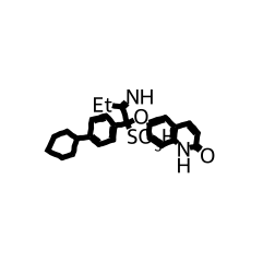 CCC(=N)C(Oc1ccc2[nH]c(=O)ccc2c1)(c1ccc(C2CCCCC2)cc1)S(=O)(=O)O